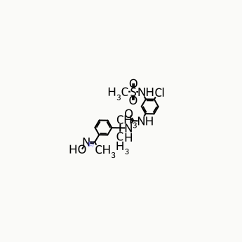 C/C(=N\O)c1cccc(C(C)(C)NC(=O)Nc2ccc(Cl)c(NS(C)(=O)=O)c2)c1